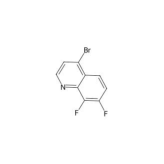 Fc1ccc2c(Br)ccnc2c1F